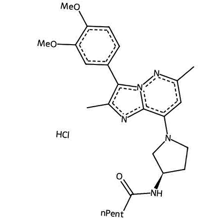 CCCCCC(=O)N[C@@H]1CCN(c2cc(C)nn3c(-c4ccc(OC)c(OC)c4)c(C)nc23)C1.Cl